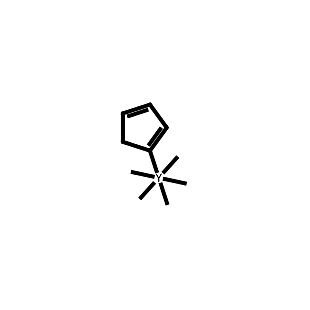 [CH3][Y]([CH3])([CH3])([CH3])([CH3])[C]1=CC=CC1